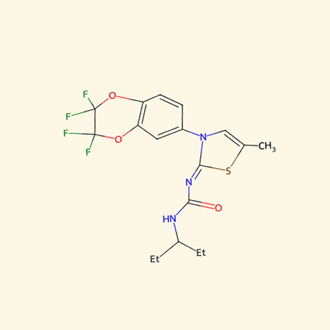 CCC(CC)NC(=O)/N=c1\sc(C)cn1-c1ccc2c(c1)OC(F)(F)C(F)(F)O2